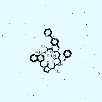 CN(C(=O)O)[C@H](C(=O)N[C@@H](Cc1ccc(-c2ccccn2)cc1)C[C@H](O)[C@H](Cc1ccccc1)NC(=O)[C@@H](N1CCN(Cc2ccnc3ccccc23)C1=O)C(C)(C)C)C(C)(C)C